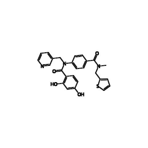 CN(Cc1cccs1)C(=O)c1ccc(N(Cc2cccnc2)C(=O)c2ccc(O)cc2O)cc1